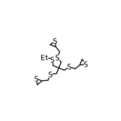 CCSCC(CSCC1CS1)(CSCC1CS1)CSCC1CS1